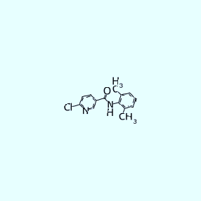 Cc1cccc(C)c1NC(=O)c1ccc(Cl)nc1